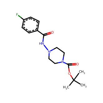 CC(C)(C)OC(=O)N1CCN(NC(=O)c2ccc(F)cc2)CC1